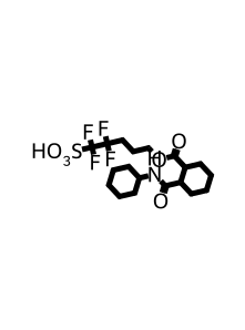 O=C(NC1CCCCC1)C1CCCCC1C(=O)OCCCC(F)(F)C(F)(F)S(=O)(=O)O